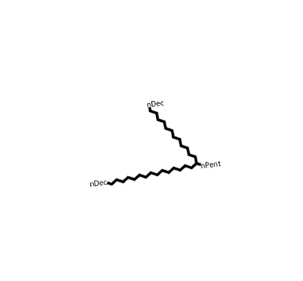 [CH2]CCCCC(CCCCCCCCCCCCCCCCCCCCCC)CCCCCCCCCCCCCCCCCCCCCCCCC